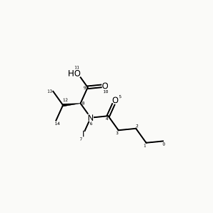 CCCCC(=O)N(I)[C@H](C(=O)O)C(C)C